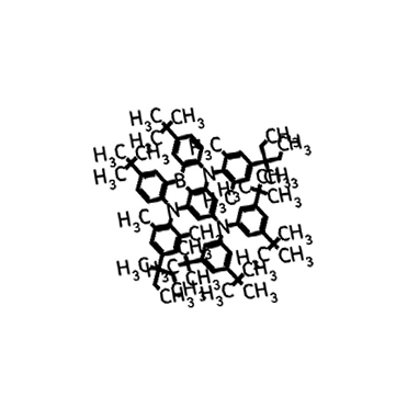 CCC(C)(CC)c1cc(C)c(N2c3ccc(C(C)(C)C)cc3B3c4cc(C(C)(C)C)ccc4N(c4c(C)cc(C(C)(CC)CC)cc4C)c4cc(N(c5cc(C(C)(C)C)cc(C(C)(C)C)c5)c5cc(C(C)(C)C)cc(C(C)(C)C)c5)cc2c43)c(C)c1